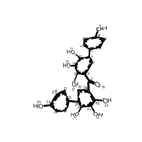 O=C(c1cc(-c2ccc(O)cc2)c(O)c(O)c1O)c1cc(-c2ccc(O)cc2)c(O)c(O)c1O